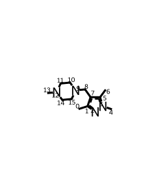 Cc1nn(C)c(C)c1CN1CCN(C)CC1